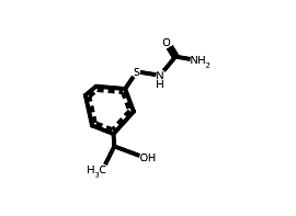 CC(O)c1cccc(SNC(N)=O)c1